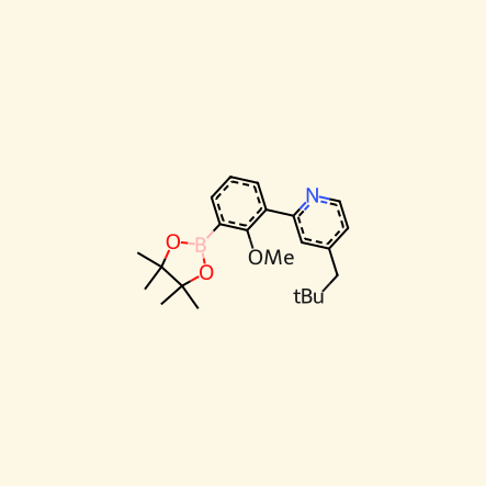 COc1c(B2OC(C)(C)C(C)(C)O2)cccc1-c1cc(CC(C)(C)C)ccn1